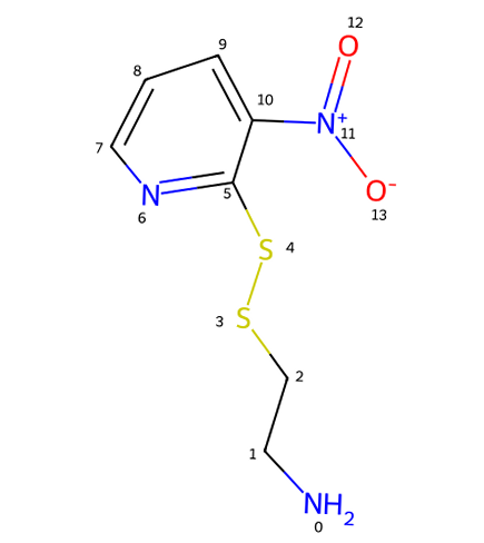 NCCSSc1ncccc1[N+](=O)[O-]